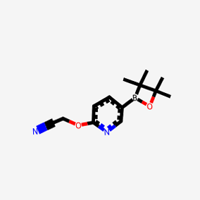 CC1(C)OB(c2ccc(OCC#N)nc2)C1(C)C